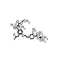 CCOC(=O)C(C)(C)Nc1ccc(OCCN2CCN(C(=O)OC(C)(C)C)C(C)C2)c(CC(F)F)c1